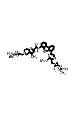 COc1nc(-c2cccc(-c3cccc(NC(=O)c4cc(C)c5c(n4)CCN(CCO[Si](C)(C)C(C)(C)C)C5)c3Cl)c2Cl)cnc1CN1CC(O[Si](C)(C)C(C)(C)C)C1